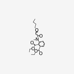 CCCCOCC(=O)N(C)c1cccc(C(=O)OCC)c1C(=O)OCC